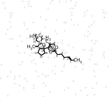 CC=CCCCC12OCC(C)(CO1)C(C1(O[Si](CC)(CC)CC)CCCC1)O2